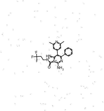 Cc1cc(-c2c(-c3ccccc3)nc(N)[n+]3c(=O)n(CCC(F)(F)F)[nH]c23)cc(C)n1